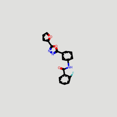 O=C(Nc1cccc(-c2nnc(-c3ccco3)o2)c1)c1ccccc1F